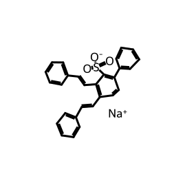 O=S(=O)([O-])c1c(-c2ccccc2)ccc(C=Cc2ccccc2)c1C=Cc1ccccc1.[Na+]